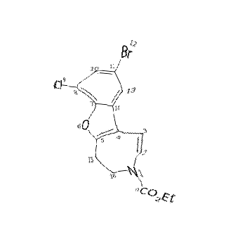 CCOC(=O)N1C=Cc2c(oc3c(Cl)cc(Br)cc23)CC1